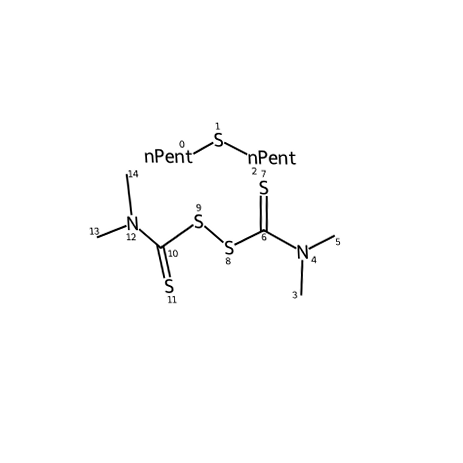 CCCCCSCCCCC.CN(C)C(=S)SSC(=S)N(C)C